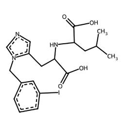 CC(C)CC(NC(Cc1cncn1Cc1cccc(I)c1)C(=O)O)C(=O)O